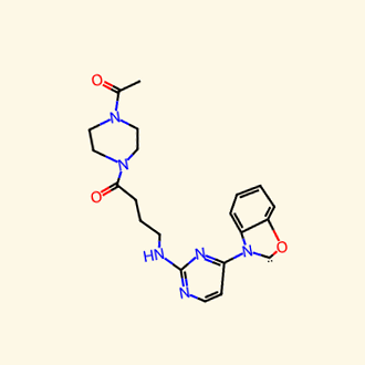 CC(=O)N1CCN(C(=O)CCCNc2nccc(N3[C]Oc4ccccc43)n2)CC1